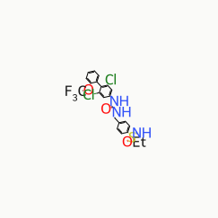 CCS(=N)(=O)c1ccc(CNC(=O)Nc2cc(Cl)c(-c3ccccc3OC(F)(F)F)c(Cl)c2)cc1